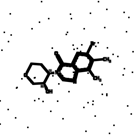 Cc1c(Br)cc2c(=O)n([C@H]3CCOC[C@@H]3O)cnc2c1C